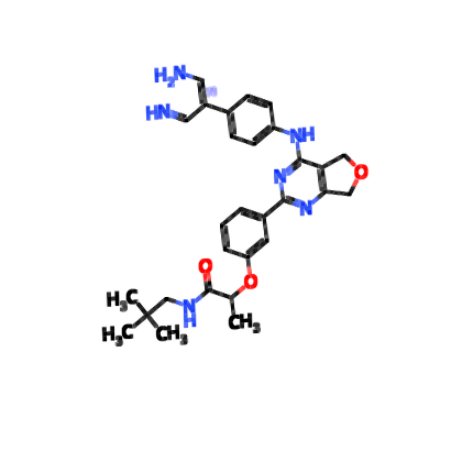 CC(Oc1cccc(-c2nc3c(c(Nc4ccc(/C(C=N)=C/N)cc4)n2)COC3)c1)C(=O)NCC(C)(C)C